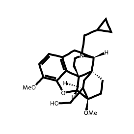 COc1ccc2c3c1O[C@H]1[C@@]4(OC)CC[C@@]5(C[C@@H]4CO)[C@@H](C2)N(CC2CC2)CC[C@]315